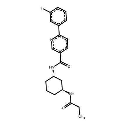 CCC(=O)N[C@H]1CCC[C@H](NC(=O)c2ccc(-c3cccc(F)c3)nc2)C1